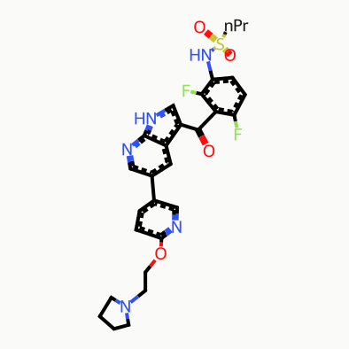 CCCS(=O)(=O)Nc1ccc(F)c(C(=O)c2c[nH]c3ncc(-c4ccc(OCCN5CCCC5)nc4)cc23)c1F